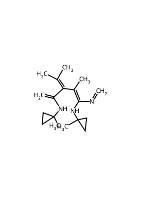 C=N/C(NC1(C)CC1)=C(\C)C(C(=C)NC1(C)CC1)=C(C)C